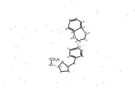 O=C(O)O[C@H]1CCN(Cc2ccc([C@H]3COc4ccccc4O3)cc2)C1